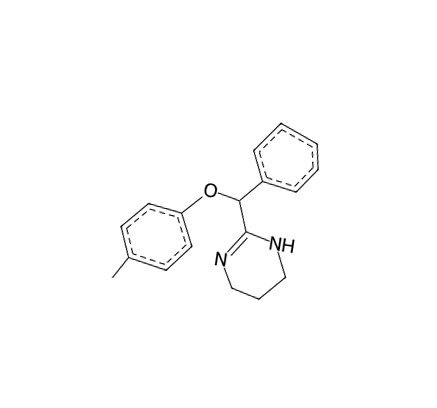 Cc1ccc(OC(C2=NCCCN2)c2ccccc2)cc1